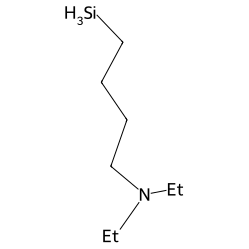 CCN(CC)CCCC[SiH3]